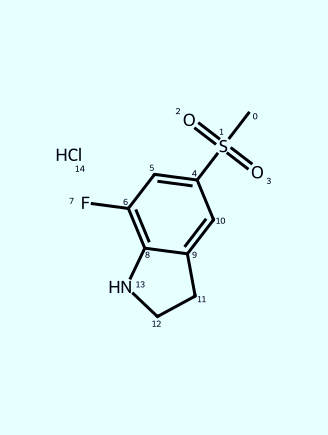 CS(=O)(=O)c1cc(F)c2c(c1)CCN2.Cl